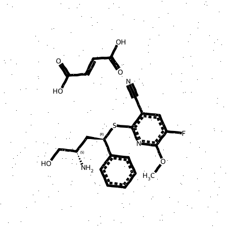 COc1nc(S[C@H](C[C@H](N)CO)c2ccccc2)c(C#N)cc1F.O=C(O)C=CC(=O)O